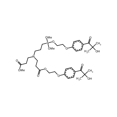 COC(=O)CCN(CCC[Si](OC)(OC)OCCOc1ccc(C(=O)C(C)(C)O)cc1)CCC(=O)OCCOc1ccc(C(=O)C(C)(C)O)cc1